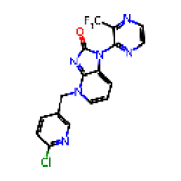 O=c1nc2n(Cc3ccc(Cl)nc3)cccc-2n1-c1nccnc1C(F)(F)F